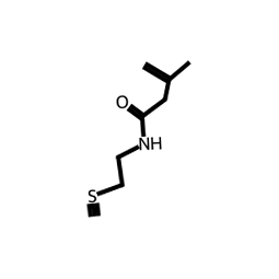 C#SCCNC(=O)CC(=C)C